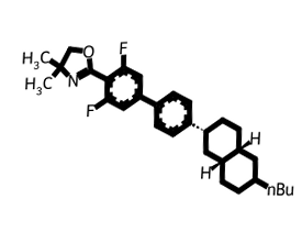 CCCCC1CC[C@@H]2C[C@H](c3ccc(-c4cc(F)c(C5=NC(C)(C)CO5)c(F)c4)cc3)CC[C@@H]2C1